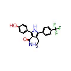 CCc1c(-c2ccc(C(F)(F)F)cc2)[nH]c(-c2ccc(O)cc2)c1C(N)=O